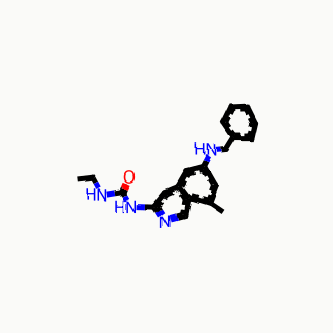 CCNC(=O)Nc1cc2cc(NCc3ccccc3)cc(C)c2cn1